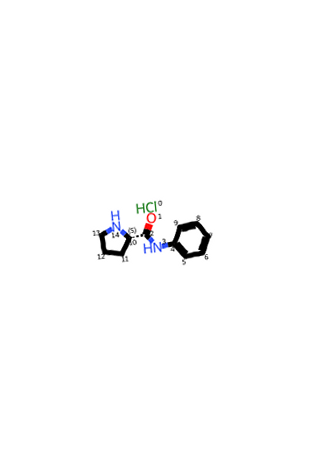 Cl.O=C(Nc1ccccc1)[C@@H]1CCCN1